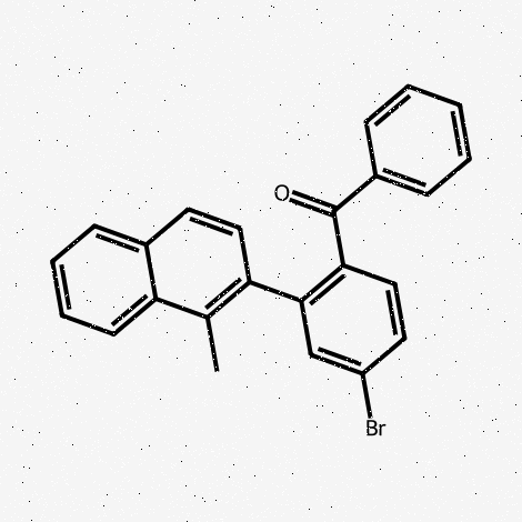 Cc1c(-c2cc(Br)ccc2C(=O)c2ccccc2)ccc2ccccc12